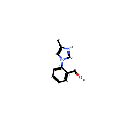 Cc1cn(-c2ccccc2C=O)cn1